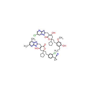 CCc1cc(CCC2(C3CCCC3)CC(O)=C(Cc3nc4ncc(Cl)cn4n3)C(=O)O2)c(OC)cc1O.Cc1cc(C)n2nc(CC3=C(O)CC(CCc4ccc(C5(C#N)CC5)c(Cl)c4)(C4CCCC4)OC3=O)nc2n1